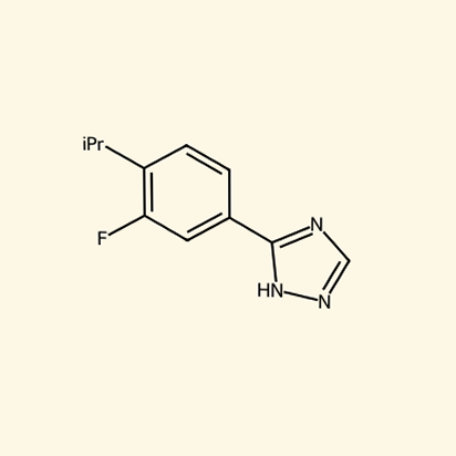 CC(C)c1ccc(-c2ncn[nH]2)cc1F